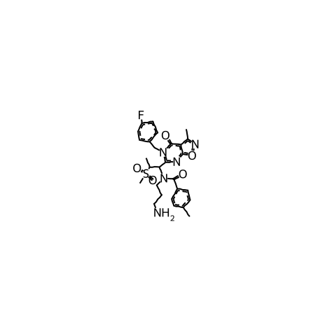 Cc1ccc(C(=O)N(CCCN)C(c2nc3onc(C)c3c(=O)n2Cc2ccc(F)cc2)C(C)S(C)(=O)=O)cc1